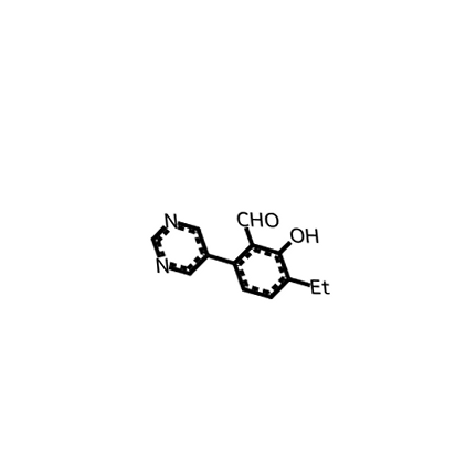 CCc1ccc(-c2cncnc2)c(C=O)c1O